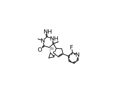 CN1C(=N)N[C@](C)(C2CC(c3cccnc3F)=CS2)[C@H](C2CC2)C1=O